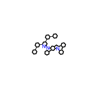 c1ccc(-c2cccc(-c3cc(-c4cccc(-c5ccccc5)c4)nc(-n4c5ccccc5c5cc6c(cc54)cc4c5ccccc5c5ccccc5n64)c3)c2)cc1